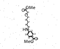 COC(=O)COCCCCCNc1ccc(C(=O)OC)cc1